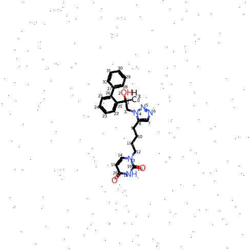 C[C@@](O)(Cn1nncc1CCCCn1ccc(=O)[nH]c1=O)c1ccccc1-c1ccccc1